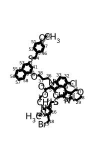 CCOC(=O)c1c(C)c2c(-c3c(CSCc4cc(CBr)n(C)n4)nn4c3COCC4)c(Cl)ccc2n1CCCOc1cc(SCc2ccc(OC)cc2)cc2ccccc12